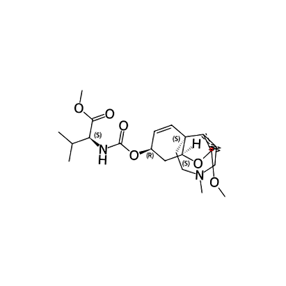 COC(=O)[C@@H](NC(=O)O[C@H]1C=C[C@@]23CCN(C)Cc4ccc(OC)c(c42)O[C@H]3C1)C(C)C